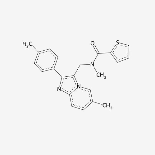 Cc1ccc(-c2nc3ccc(C)cn3c2CN(C)C(=O)c2cccs2)cc1